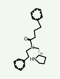 O=C(CCCc1ccccc1)N(CCc1ccccc1)C[C@@H]1CCCN1